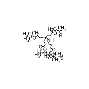 CC(C)(C)OC(=O)CCC(CCC(=O)OC(C)(C)C)(CCC(=O)OC(C)(C)C)NCCCO[Si](C)(C)C(C)(C)C